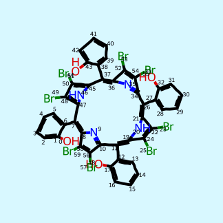 Oc1ccccc1-c1c2nc(c(-c3ccccc3O)c3[nH]c(c(Br)c3Br)c(-c3ccccc3O)c3nc(c(-c4ccccc4O)c4[nH]c1c(Br)c4Br)C(Br)=C3Br)C(Br)=C2Br